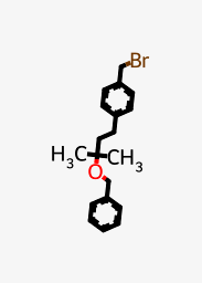 CC(C)(CCc1ccc(CBr)cc1)OCc1ccccc1